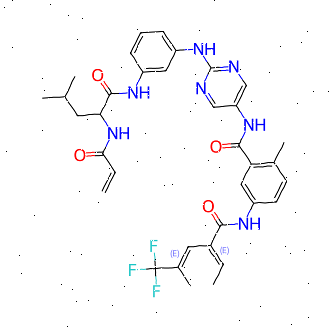 C=CC(=O)NC(CC(C)C)C(=O)Nc1cccc(Nc2ncc(NC(=O)c3cc(NC(=O)C(=C/C)/C=C(\C)C(F)(F)F)ccc3C)cn2)c1